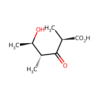 C[C@@H](C(=O)O)C(=O)[C@H](C)[C@@H](C)O